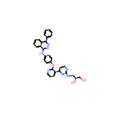 OCC(O)CNc1nccc(-c2cccnc2Oc2ccc(Nc3nnc(-c4ccccc4)c4ccccc34)cc2)n1